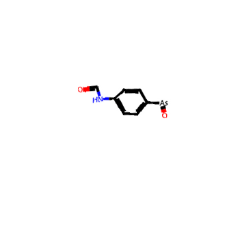 O=CNc1ccc([As]=O)cc1